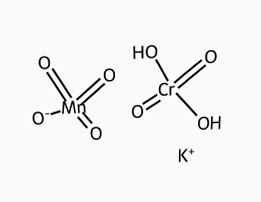 [K+].[O]=[Cr](=[O])([OH])[OH].[O]=[Mn](=[O])(=[O])[O-]